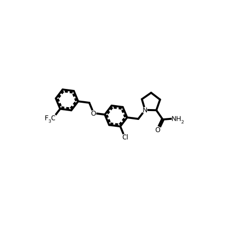 NC(=O)C1CCCN1Cc1ccc(OCc2cccc(C(F)(F)F)c2)cc1Cl